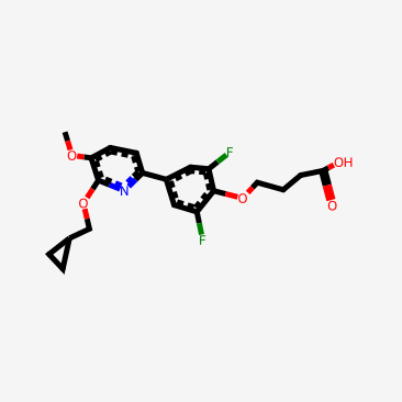 COc1ccc(-c2cc(F)c(OCCCC(=O)O)c(F)c2)nc1OCC1CC1